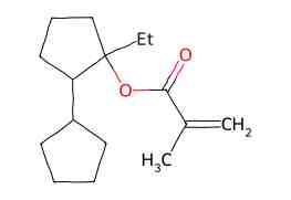 C=C(C)C(=O)OC1(CC)CCCC1C1CCCC1